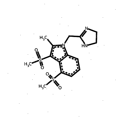 Cc1c(S(C)(=O)=O)c2c(S(C)(=O)=O)cccc2n1CC1=NCCN1